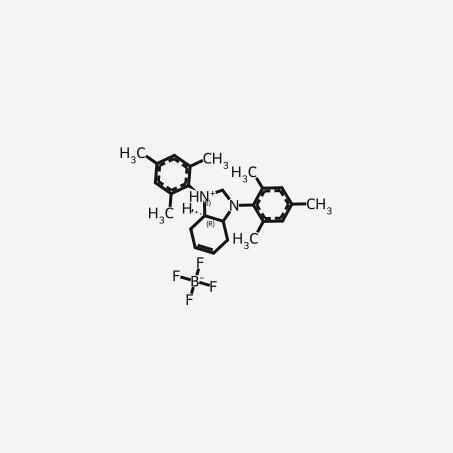 Cc1cc(C)c(N2C[N@H+](c3c(C)cc(C)cc3C)[C@@H]3CC=CCC32)c(C)c1.F[B-](F)(F)F